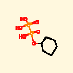 O=P(O)(O)P(=O)(O)OC1CCCCC1